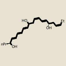 CC/C=C\C[C@H](O)/C=C/C=C\CC(O)/C=C/C=C/C=C[C@@H](O)CCC